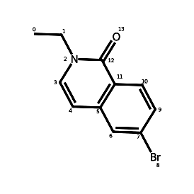 CCn1ccc2cc(Br)ccc2c1=O